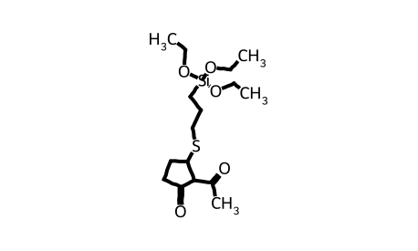 CCO[Si](CCCSC1CCC(=O)C1C(C)=O)(OCC)OCC